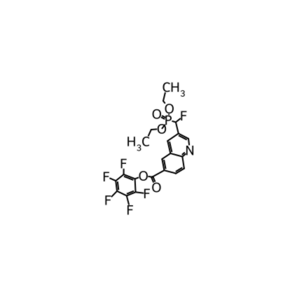 CCOP(=O)(OCC)C(F)c1cnc2ccc(C(=O)Oc3c(F)c(F)c(F)c(F)c3F)cc2c1